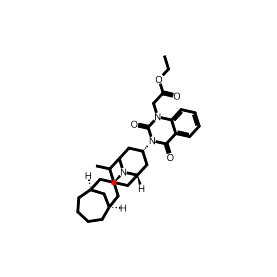 CCOC(=O)Cn1c(=O)n([C@H]2CC3C(C)CC[C@@H](C2)N3[C@@H]2C[C@@H]3CCCC[C@@H](C3)C2)c(=O)c2ccccc21